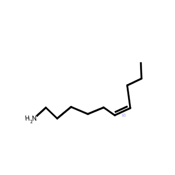 CCC/C=C\CCCCCN